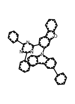 c1ccc(-c2ccc3c(c2)c2ccccc2n3-c2cc3oc4ccccc4c3cc2-c2nc(-c3ccccc3)nc(-c3ccccc3)n2)cc1